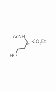 CCOC(=O)[C@H](CCO)NC(C)=O